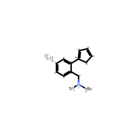 CCCC[N]([Ti+2])Cc1ccccc1C1=CC=CC1.[Cl-].[Cl-]